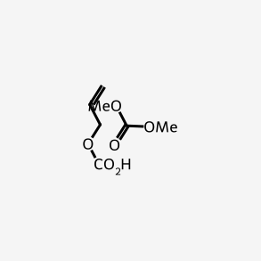 C=CCOC(=O)O.COC(=O)OC